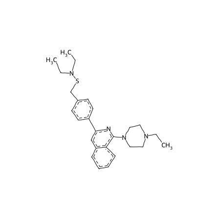 CCN1CCN(c2nc(-c3ccc(CSN(CC)CC)cc3)cc3ccccc23)CC1